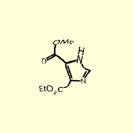 CCOC(=O)c1nc[nH]c1C(=O)OC